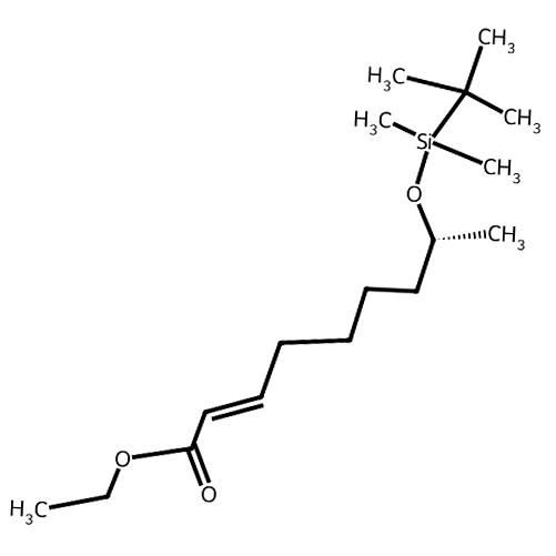 CCOC(=O)/C=C/CCCC[C@@H](C)O[Si](C)(C)C(C)(C)C